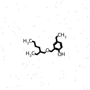 CCCCC(CC)COCc1cc(CC)ccc1O